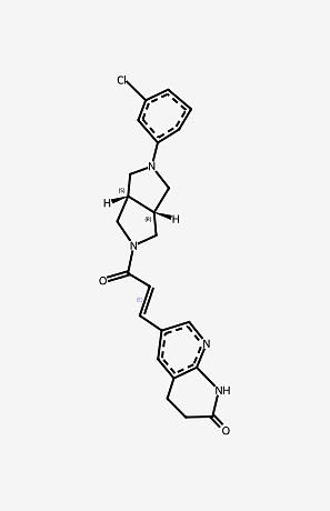 O=C1CCc2cc(/C=C/C(=O)N3C[C@@H]4CN(c5cccc(Cl)c5)C[C@@H]4C3)cnc2N1